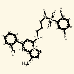 Bc1cnn2c(NCCCN(C)S(=O)(=O)c3cc(F)ccc3F)cc(-c3ccccc3Cl)nc12